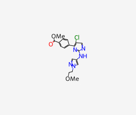 COCCn1cc(Nc2ncc(Cl)c(-c3ccc(C(=O)OC)cc3)n2)cn1